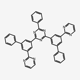 c1ccc(-c2cc(-c3ncccn3)cc(-c3nc(-c4ccccc4)nc(-c4cc(-c5ccccc5)cc(-c5ncccn5)c4)n3)c2)cc1